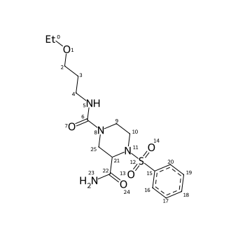 CCOCCCNC(=O)N1CCN(S(=O)(=O)c2ccccc2)C(C(N)=O)C1